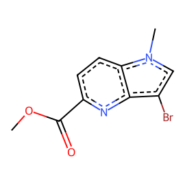 COC(=O)c1ccc2c(n1)c(Br)cn2C